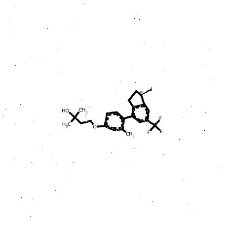 Cc1cc(OCCC(C)(C)O)ccc1-c1cc(C(F)(F)F)cc2c1CC[C@H]2I